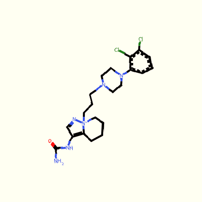 NC(=O)NC1=C2CCCC[N+]2(CCCN2CCN(c3cccc(Cl)c3Cl)CC2)N=C1